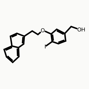 OCc1ccc(I)c(OCCc2ccc3ccccc3c2)c1